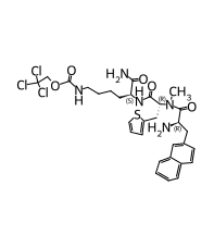 CN(C(=O)[C@H](N)Cc1ccc2ccccc2c1)[C@H](Cc1cccs1)C(=O)N[C@@H](CCCCNC(=O)OCC(Cl)(Cl)Cl)C(N)=O